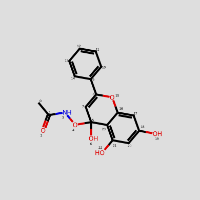 CC(=O)NOC1(O)C=C(c2ccccc2)Oc2cc(O)cc(O)c21